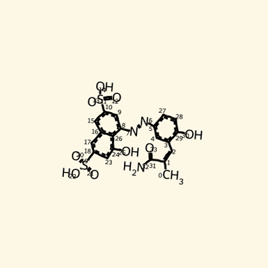 CC(=Cc1cc(N=Nc2cc(S(=O)(=O)O)cc3cc(S(=O)(=O)O)cc(O)c23)ccc1O)C(N)=O